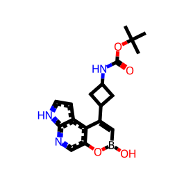 CC(C)(C)OC(=O)NC1CC(C2=CB(O)Oc3cnc4[nH]ccc4c32)C1